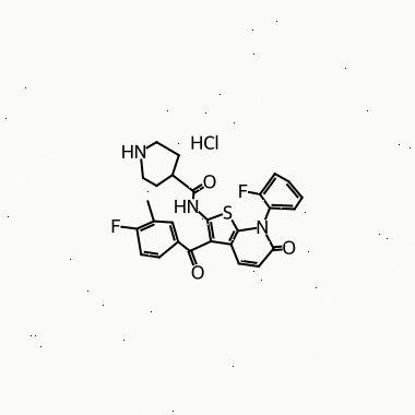 Cc1cc(C(=O)c2c(NC(=O)C3CCNCC3)sc3c2ccc(=O)n3-c2ccccc2F)ccc1F.Cl